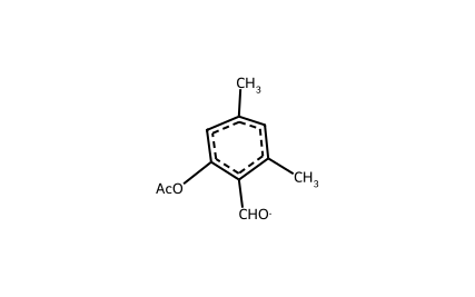 CC(=O)Oc1cc(C)cc(C)c1[C]=O